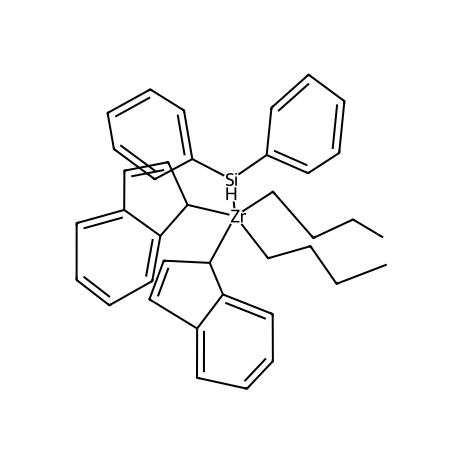 CCC[CH2][Zr]([CH2]CCC)([CH]1C=Cc2ccccc21)([CH]1C=Cc2ccccc21)[SiH](c1ccccc1)c1ccccc1